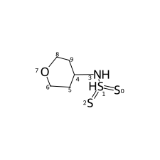 S=[SH](=S)NC1CCOCC1